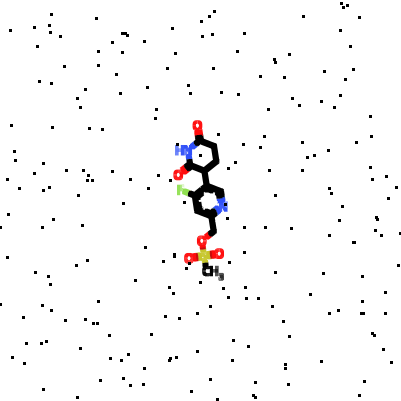 CS(=O)(=O)OCc1cc(F)c(C2CCC(=O)NC2=O)cn1